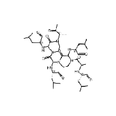 CC(=O)[C@H](C)N1CCN(C(=O)C(N[C@H](C=O)CC(C)C)N2CCN(C(=O)C(C)N[C@H](C=O)CC(C)C)C(N[C@H](C=O)CC(C)C)C2=O)C(N[C@H](C=O)CC(C)C)C1=O